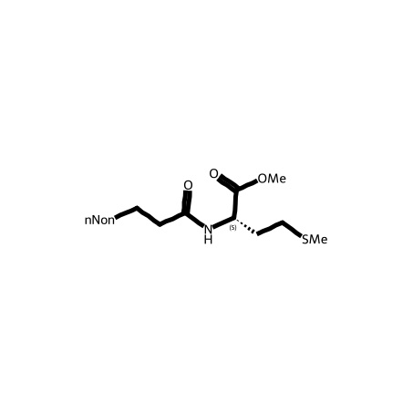 CCCCCCCCCCCC(=O)N[C@@H](CCSC)C(=O)OC